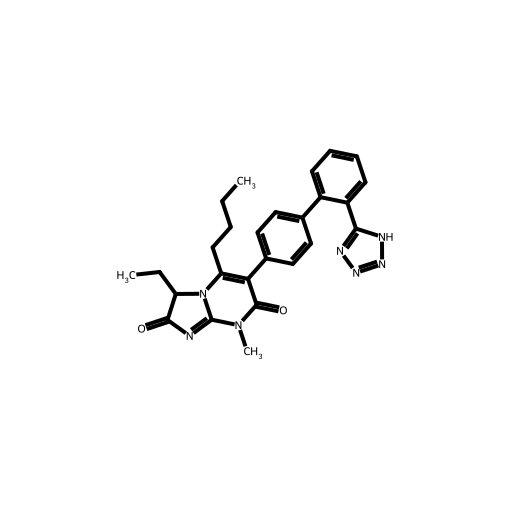 CCCCC1=C(c2ccc(-c3ccccc3-c3nnn[nH]3)cc2)C(=O)N(C)C2=NC(=O)C(CC)N21